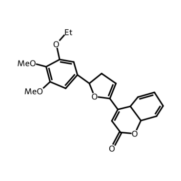 CCOc1cc(C2CC=C(C3=CC(=O)OC4C=CC=CC34)O2)cc(OC)c1OC